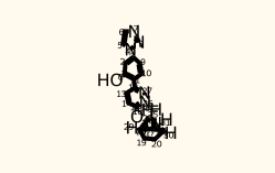 Oc1cc(-n2ccnn2)ccc1-c1ccc(O[C@H]2[C@@H]3CC[C@@H](NC3)[C@@H]2F)nn1